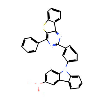 OB(O)c1ccc2c(c1)c1ccccc1n2-c1cccc(-c2nc(-c3ccccc3)c3sc4ccccc4c3n2)c1